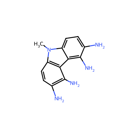 Cn1c2ccc(N)c(N)c2c2c(N)c(N)ccc21